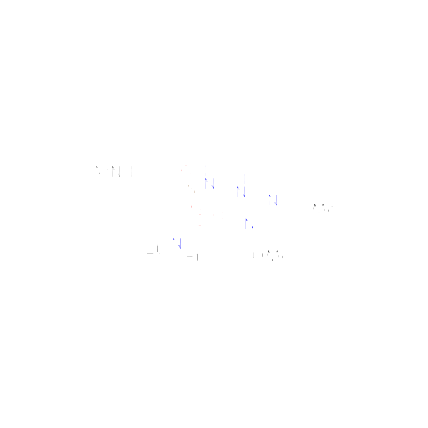 CCN(CC)C(=O)c1ccc(NC(C)=O)cc1S(=O)(=O)NC(=O)Nc1nc(OC)cc(OC)n1